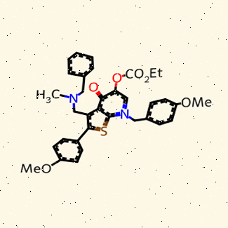 CCOC(=O)Oc1cn(Cc2ccc(OC)cc2)c2sc(-c3ccc(OC)cc3)c(CN(C)Cc3ccccc3)c2c1=O